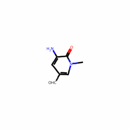 Cn1cc(C=O)cc(N)c1=O